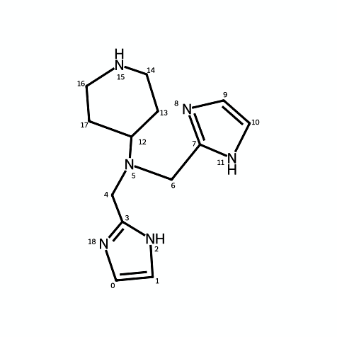 c1c[nH]c(CN(Cc2ncc[nH]2)C2CCNCC2)n1